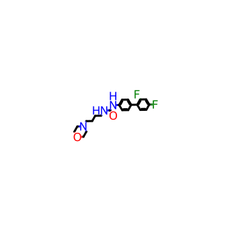 O=C(NCCCCN1CCOCC1)Nc1ccc(-c2ccc(F)cc2F)cc1